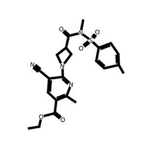 CCOC(=O)c1cc(C#N)c(N2CC(C(=O)N(C)S(=O)(=O)c3ccc(C)cc3)C2)nc1C